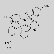 CCCNCc1ccc(OC)c(C2(N3CCCC3c3ccccn3)C(=O)N(S(=O)(=O)c3ccc(OC)cc3)c3ccc(Cl)cc32)c1